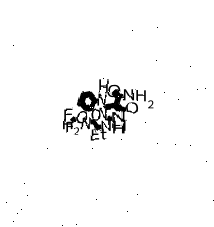 CC[C@@H](Nc1nc(Nc2cccc(OC(F)F)c2)c(C(N)=O)c(=O)[nH]1)C(N)=O